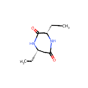 CC[C@@H]1NC(=O)[C@H](CC)NC1=O